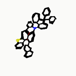 C1=CC(C2(c3ccccc3)c3ccccc3-c3c(N(c4ccc(-c5ccc6ccccc6c5)cc4)c4ccccc4-c4ccc5c(c4)sc4ccccc45)cccc32)=CCC1